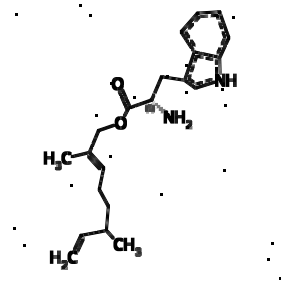 C=CC(C)CCC=C(C)COC(=O)[C@@H](N)Cc1c[nH]c2ccccc12